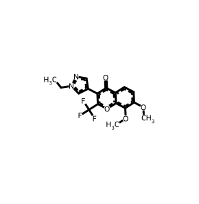 CCn1cc(-c2c(C(F)(F)F)oc3c(OC)c(OC)ccc3c2=O)cn1